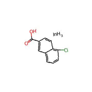 O=C(O)c1ccc2c(Cl)cccc2c1.[InH3]